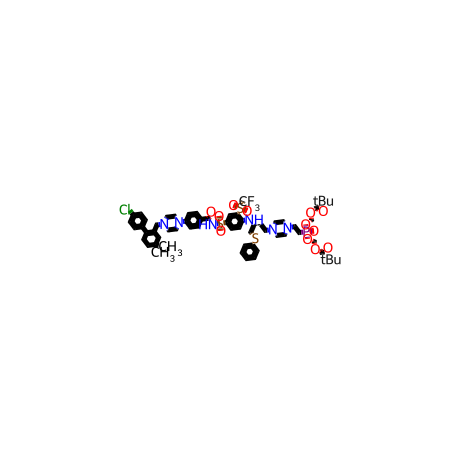 CC1(C)CCC(c2ccc(Cl)cc2)=C(CN2CCN(c3ccc(C(=O)NS(=O)(=O)c4ccc(N[C@H](CCN5CCN(CCP(=O)(OCOC(=O)C(C)(C)C)OCOC(=O)C(C)(C)C)CC5)CSc5ccccc5)c(S(=O)(=O)C(F)(F)F)c4)cc3)CC2)C1